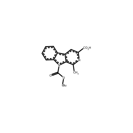 Cc1nc(C(=O)O)cc2c3ccccc3n(C(=O)OC(C)(C)C)c12